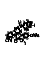 CO[C@H]1CC[C@H](N2c3nc(Nc4cnc5[nH]ncc5c4)ncc3N(c3cccc(C#N)c3)C(=O)[C@H]2C)CC1